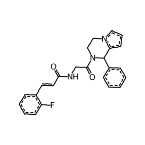 O=C(C=Cc1ccccc1F)NCC(=O)N1CCn2cccc2C1c1ccccc1